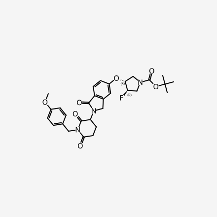 COc1ccc(CN2C(=O)CCC(N3Cc4cc(O[C@@H]5CN(C(=O)OC(C)(C)C)C[C@H]5F)ccc4C3=O)C2=O)cc1